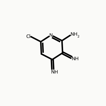 N=C1C=C(Cl)N=C(N)C1=N